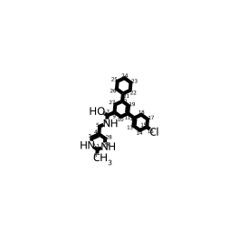 CC1NC=C(CNC(O)C2CC(C3=CCC(Cl)CC3)=CC(C3CCCCC3)C2)CN1